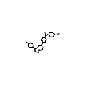 Cc1ccc(-c2cnc3cnc(-c4ccc(C(=O)N5CCC(O)CC5)cc4)cn23)cc1